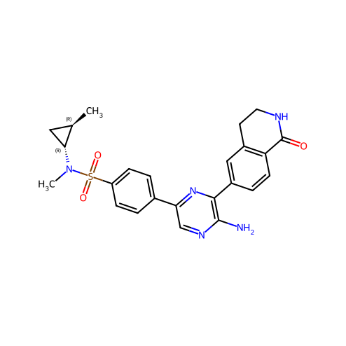 C[C@@H]1C[C@H]1N(C)S(=O)(=O)c1ccc(-c2cnc(N)c(-c3ccc4c(c3)CCNC4=O)n2)cc1